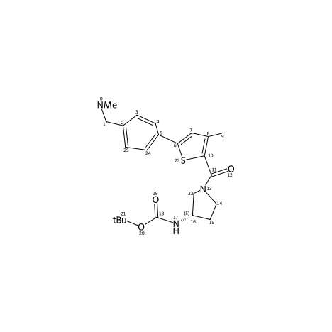 CNCc1ccc(-c2cc(C)c(C(=O)N3CC[C@H](NC(=O)OC(C)(C)C)C3)s2)cc1